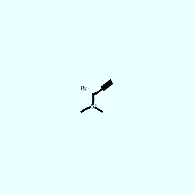 C#CC[S+](C)C.[Br-]